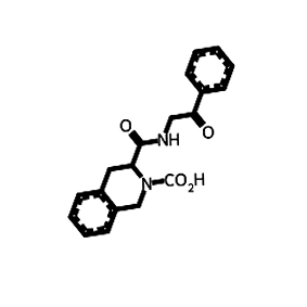 O=C(CNC(=O)C1Cc2ccccc2CN1C(=O)O)c1ccccc1